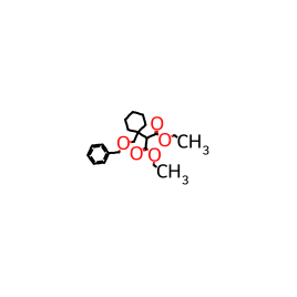 CCOC(=O)C(C(=O)OCC)C1(COCc2ccccc2)CCCCC1